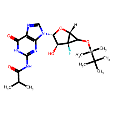 CC(C)C(=O)Nc1nc2c(ncn2[C@@H]2O[C@@H]3C(O[Si](C)(C)C(C)(C)C)[C@]3(F)[C@H]2O)c(=O)[nH]1